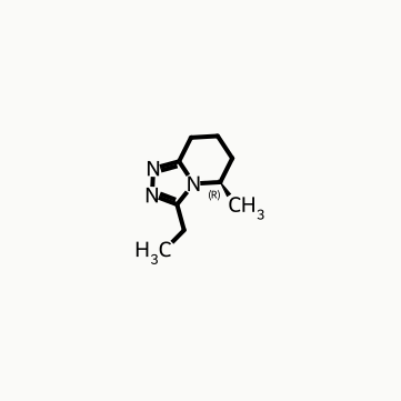 CCc1nnc2n1[C@H](C)CCC2